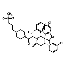 Cc1ccc(F)cc1[C@H]1N(CC(=O)N2CCN(CCCS(C)(=O)=O)CC2)C(=O)C[C@@H](c2cccc(Cl)c2)[C@]12C(=O)Nc1cc(Cl)ccc12